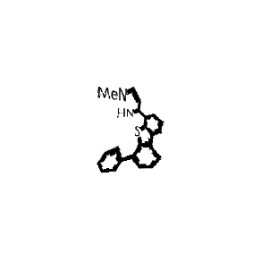 CN/C=C\C(=N)c1cccc2c1sc1c(-c3ccccc3)cccc12